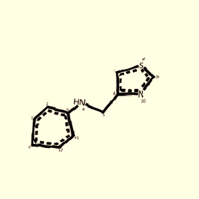 c1ccc(NCc2cscn2)cc1